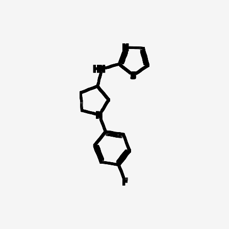 Fc1ccc(N2CCC(Nc3nccs3)C2)cc1